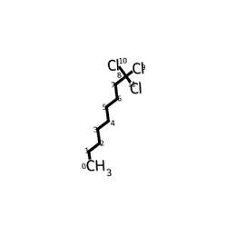 CCCCCCCCC(Cl)(Cl)Cl